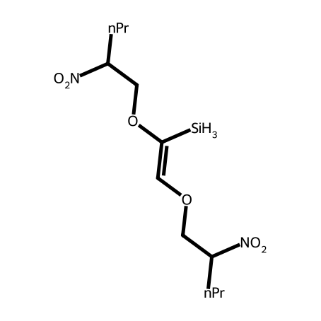 CCCC(COC=C([SiH3])OCC(CCC)[N+](=O)[O-])[N+](=O)[O-]